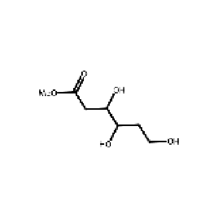 COC(=O)CC(O)C(O)CCO